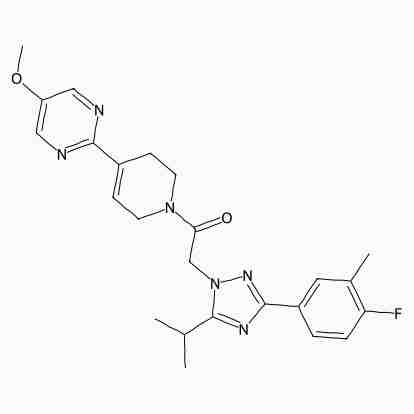 COc1cnc(C2=CCN(C(=O)Cn3nc(-c4ccc(F)c(C)c4)nc3C(C)C)CC2)nc1